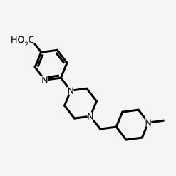 CN1CCC(CN2CCN(c3ccc(C(=O)O)cn3)CC2)CC1